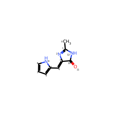 CC1=N/C(=C\c2ccc[nH]2)C(=O)N1